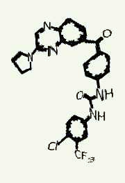 O=C(Nc1ccc(C(=O)c2ccc3ncc(N4CCCC4)nc3c2)cc1)Nc1ccc(Cl)c(C(F)(F)F)c1